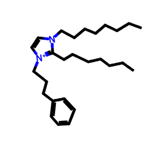 CCCCCCCCn1cc[n+](CCCc2ccccc2)c1CCCCCCC